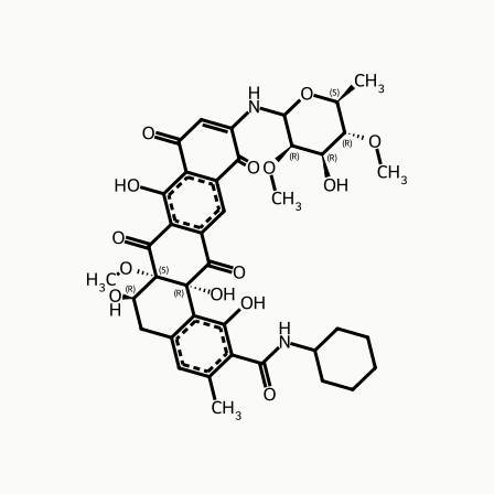 CO[C@@H]1[C@@H](O)[C@@H](OC)C(NC2=CC(=O)c3c(cc4c(c3O)C(=O)[C@]3(OC)[C@H](O)Cc5cc(C)c(C(=O)NC6CCCCC6)c(O)c5[C@]3(O)C4=O)C2=O)O[C@H]1C